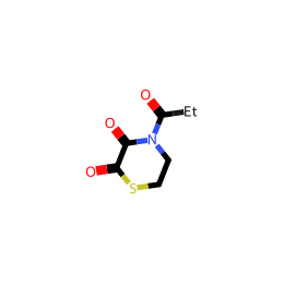 [CH2]CC(=O)N1CCSC(=O)C1=O